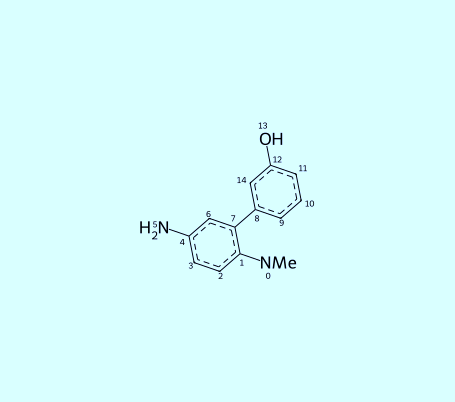 CNc1ccc(N)cc1-c1cccc(O)c1